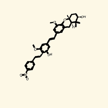 COc1cc(/C=C/c2cc3c(c(OC)c2)O[C@]2(C)CC[C@@H](O)C(C)(C)[C@H]2C3)cc(O)c1/C=C/c1ccc([N+](=O)[O-])cc1